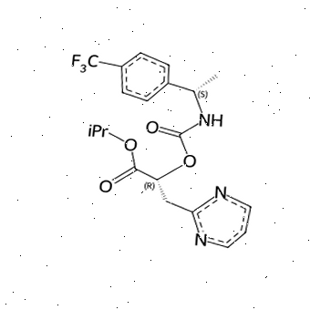 CC(C)OC(=O)[C@@H](Cc1ncccn1)OC(=O)N[C@@H](C)c1ccc(C(F)(F)F)cc1